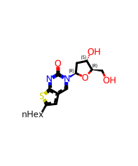 CCCCCCc1cc2cn([C@H]3C[C@H](O)[C@@H](CO)O3)c(=O)nc2s1